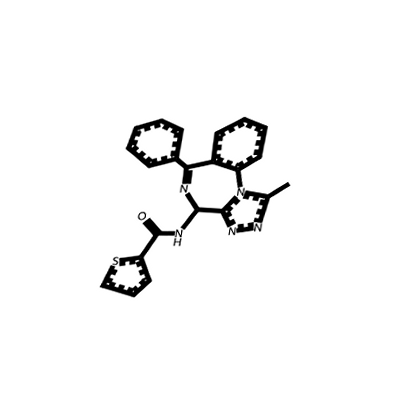 Cc1nnc2n1-c1ccccc1C(c1ccccc1)=NC2NC(=O)c1cccs1